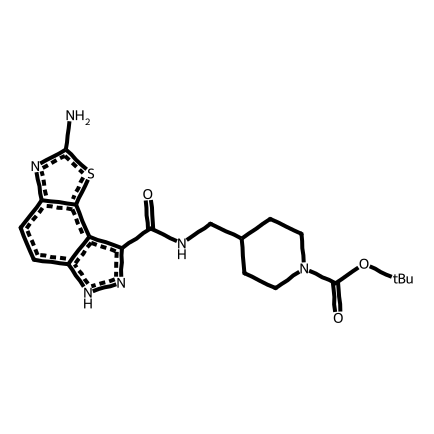 CC(C)(C)OC(=O)N1CCC(CNC(=O)c2n[nH]c3ccc4nc(N)sc4c23)CC1